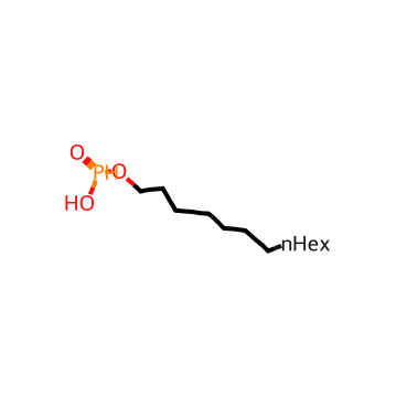 CCCCCCCCCCCCCO[PH](=O)O